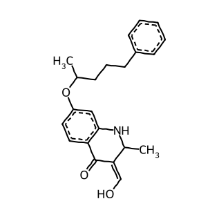 CC(CCCc1ccccc1)Oc1ccc2c(c1)NC(C)C(=CO)C2=O